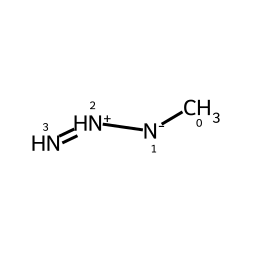 C[N-][NH+]=N